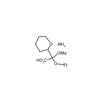 CCOC(OC)(C(=O)O)C1CCCCO1.[AlH3]